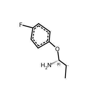 C[CH][C@H](N)Oc1ccc(F)cc1